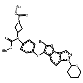 CC(C)(C)OC(=O)N1CC(N(C(=O)OC(C)(C)C)c2ccc(Oc3c(Br)sc4c3ccc3c4cnn3C3CCCCO3)cc2)C1